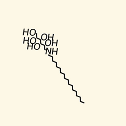 CCCCCCCCCCCCCCCCCCNCC(O)C(O)C(O)C(O)CO